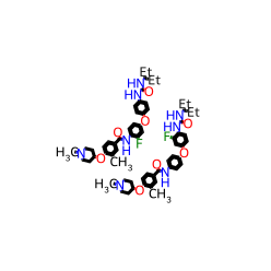 CCC(CC)NC(=O)Nc1ccc(Oc2ccc(NC(=O)c3ccc(OC4CCN(C)CC4)c(C)c3)c(F)c2)cc1.CCC(CC)NC(=O)Nc1ccc(Oc2ccc(NC(=O)c3ccc(OC4CCN(C)CC4)c(C)c3)cc2)cc1F